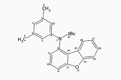 Cc1cc(C)cc(N(c2cccc3oc4ccccc4c23)C(C)(C)C)c1